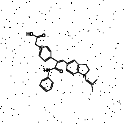 CC(C)=CN1CCc2cc(/C=C(\C(=O)Nc3ccccc3)c3cc[n+](CC(=O)O)cc3)ccc21